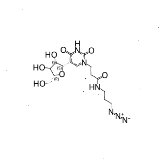 [N-]=[N+]=NCCCNC(=O)CCn1cc([C@@H]2O[C@H](CO)C(O)[C@@H]2O)c(=O)[nH]c1=O